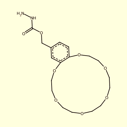 NNC(=O)OCc1ccc2c(c1)OCCOCCOCCOCCOCCO2